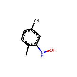 Cc1ccc(C#N)cc1NO